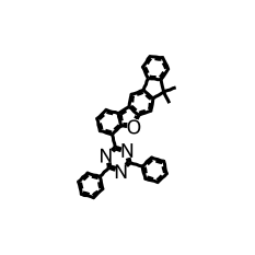 CC1(C)c2ccccc2-c2cc3c(cc21)oc1c(-c2nc(-c4ccccc4)nc(-c4ccccc4)n2)cccc13